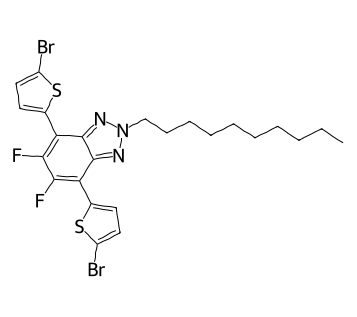 CCCCCCCCCCn1nc2c(-c3ccc(Br)s3)c(F)c(F)c(-c3ccc(Br)s3)c2n1